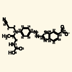 C=C(CNC(=O)O)N(CCC#N)c1ccc(N=Nc2nc3ccc([N+](=O)[O-])cc3s2)cc1